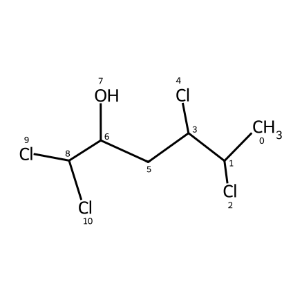 CC(Cl)C(Cl)CC(O)C(Cl)Cl